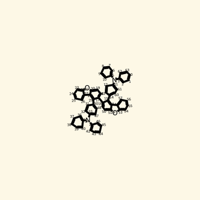 c1ccc(N(c2ccccc2)c2ccc(-c3c(-c4ccc5oc6ccccc6c5c4-c4ccc(N(c5ccccc5)c5ccccc5)cc4)ccc4oc5ccccc5c34)cc2)cc1